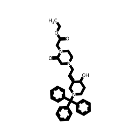 CCOC(=O)CN1CCN(C/C=C2/CN(C(c3ccccc3)(c3ccccc3)c3ccccc3)CCC2O)CC1=O